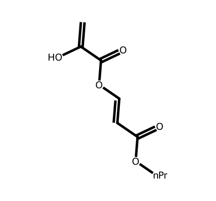 C=C(O)C(=O)OC=CC(=O)OCCC